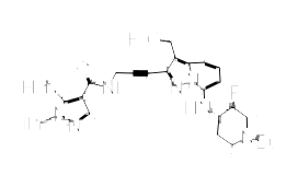 CCN1CC[C@@H](Nc2cccc3c(CC(F)(F)F)c(C#CCNC(=O)c4cnn(C(C)C)c4N)nn23)[C@@H](F)C1